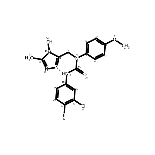 COc1ccc(N(Cc2nnc(C)n2C)C(=O)Nc2ccc(F)c(Cl)c2)cc1